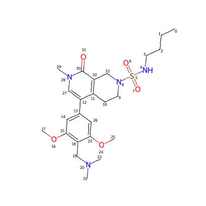 CCCCNS(=O)(=O)N1CCc2c(-c3cc(OC)c(CN(C)C)c(OC)c3)cn(C)c(=O)c2C1